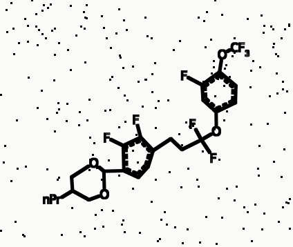 CCCC1COC(c2ccc(CCC(F)(F)Oc3ccc(OC(F)(F)F)c(F)c3)c(F)c2F)OC1